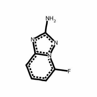 Nc1nc2cccc(F)n2n1